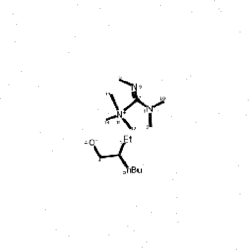 CCCCC(CC)C[O-].CN=C(N(C)C)[N+](C)(C)C